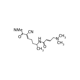 CNC(=O)/C(C#N)=C/CCC(C)NC(=O)/C=C/CN(C)C